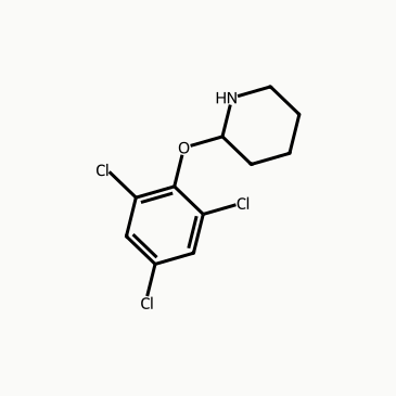 Clc1cc(Cl)c(OC2CCCCN2)c(Cl)c1